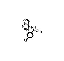 CC(Nc1ncnc2sccc12)c1ccc(Cl)cc1